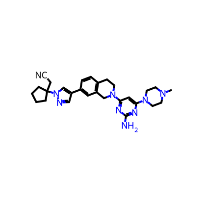 CN1CCN(c2cc(N3CCc4ccc(-c5cnn(C6(CC#N)CCCC6)c5)cc4C3)nc(N)n2)CC1